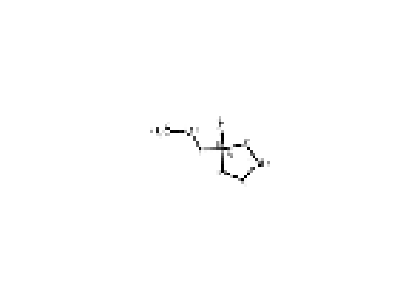 COC[C@@]1(F)CCNC1